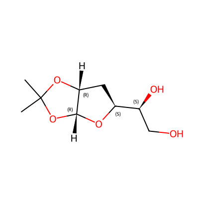 CC1(C)O[C@H]2O[C@H]([C@@H](O)CO)C[C@H]2O1